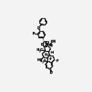 C[C@]12C=CC(=O)C=C1[C@@H](F)C[C@H]1[C@@H]3C[C@H]4O[C@@H](c5ccc(Oc6ccccc6)c(F)c5)O[C@@]4(C(=O)CO)[C@@]3(C)C[C@H](O)[C@@]12F